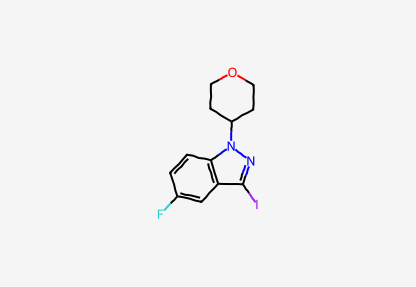 Fc1ccc2c(c1)c(I)nn2C1CCOCC1